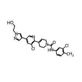 Cc1ccc(NC(=O)N2CC=C(c3ncc(-c4cnn(CCO)c4)cc3Cl)CC2)cc1Cl